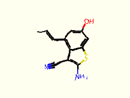 C/C=C/c1cc(O)cc2sc(N)c(C#N)c12